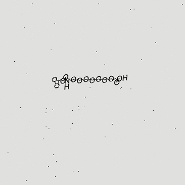 O=C(O)CCOCCOCCOCCOCCOCCOCCOCCNC(=O)OCC1c2ccccc2-c2ccccc21